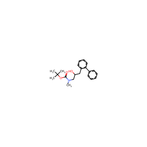 CN(CC(O)Cc1ccccc1-c1ccccc1)C(=O)OC(C)(C)C